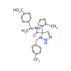 Cc1ccsc1C1(C(=O)N[C@@H](C)c2ccc(C(=O)O)cc2)C=NNN1Cc1ccc(C(F)(F)F)cc1